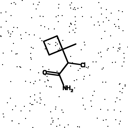 CC1(C(Cl)C(N)=O)CCC1